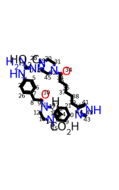 N=C(N)Nc1ccc(CC(=O)N2CCN(C(=O)O)[C@]3(C2)C2CCC[C@H]3CCC2)cc1.O=C(O)N1CCN(C(=O)CCCCCc2c[nH]cn2)CC1